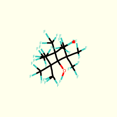 FOC(C(C(F)(F)F)(C(F)(F)F)C(F)(F)F)(C(C(F)(F)F)(C(F)(F)F)C(F)(F)F)C(C(F)(F)F)(C(F)(F)F)C(F)(F)F